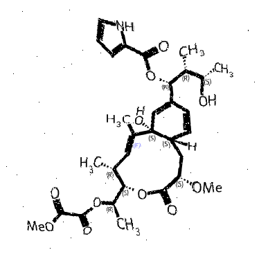 COC(=O)C(=O)O[C@H](C)[C@H]1OC(=O)[C@@H](OC)C[C@H]2C=CC([C@H](OC(=O)c3ccc[nH]3)[C@H](C)[C@H](C)O)=C[C@]2(O)/C(C)=C/[C@H]1C